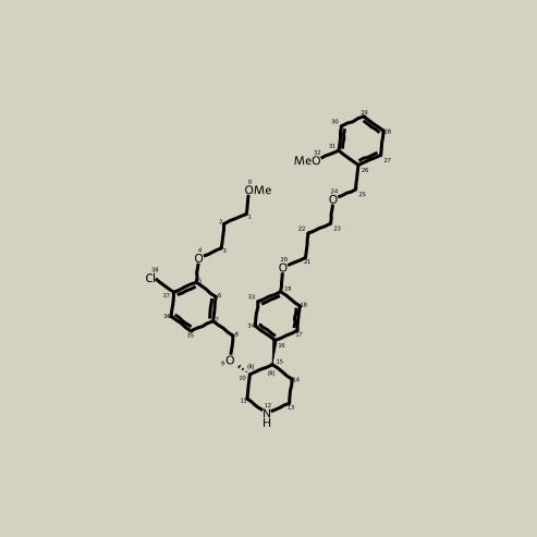 COCCCOc1cc(CO[C@H]2CNCC[C@@H]2c2ccc(OCCCOCc3ccccc3OC)cc2)ccc1Cl